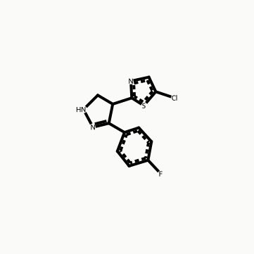 Fc1ccc(C2=NNCC2c2ncc(Cl)s2)cc1